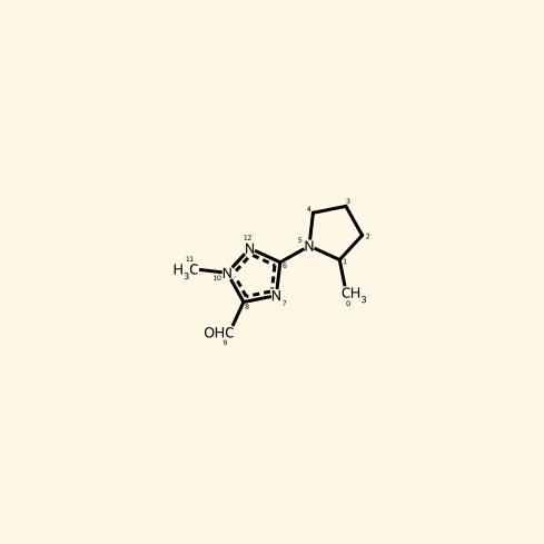 CC1CCCN1c1nc(C=O)n(C)n1